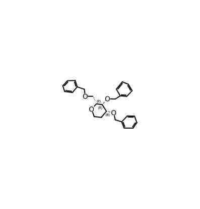 c1ccc(COC[C@H]2OCC[C@@H](OCc3ccccc3)[C@H]2OCc2ccccc2)cc1